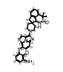 CC1(C)c2cccc3c2C(N[S+]1[O-])C1(CCN(c2nc4ccc(Sc5cccc(N)c5Cl)c5ncc2n45)CC1)C3